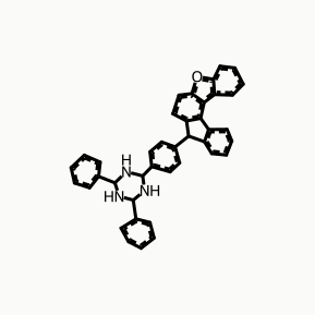 c1ccc(C2NC(c3ccccc3)NC(c3ccc(C4c5ccccc5-c5c4ccc4oc6ccccc6c54)cc3)N2)cc1